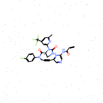 C=CC(=O)Nc1cncc(C#CCN(C(=O)[C@@H]2CNC(=O)N2c2cc(C(F)(F)F)cc(C)n2)c2ccc(F)cc2)n1